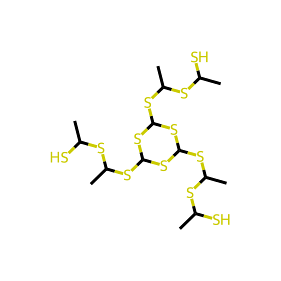 CC(S)SC(C)SC1SC(SC(C)SC(C)S)SC(SC(C)SC(C)S)S1